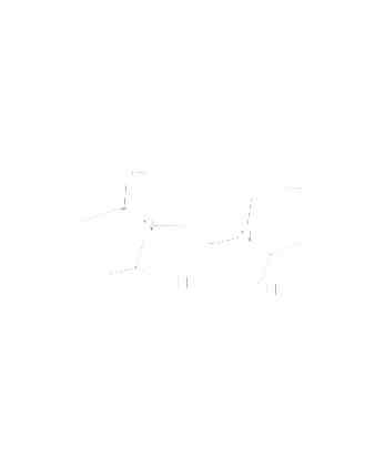 CC(O)N(CCN(C(C)O)C(C)O)C(C)O